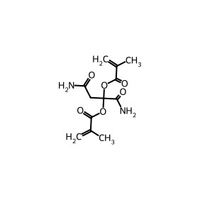 C=C(C)C(=O)OC(CC(N)=O)(OC(=O)C(=C)C)C(N)=O